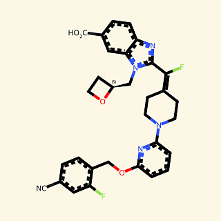 N#Cc1ccc(COc2cccc(N3CCC(=C(F)c4nc5ccc(C(=O)O)cc5n4C[C@@H]4CCO4)CC3)n2)c(F)c1